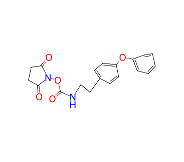 O=C(NCCc1ccc(Oc2ccccc2)cc1)ON1C(=O)CCC1=O